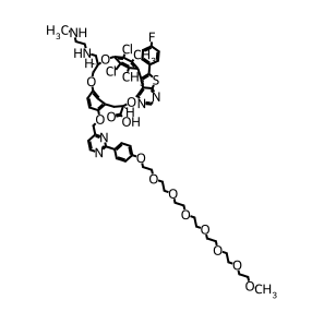 CNCCNC[C@@H]1COc2ccc(OCc3ccnc(-c4ccc(OCCOCCOCCOCCOCCOCCOCCOC)cc4)n3)c(c2)C[C@H](C(=O)O)Oc2ncnc3sc(-c4ccc(F)cc4)c(c23)-c2c(C)c(Cl)c(c(Cl)c2C)O1